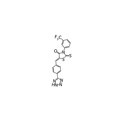 O=C1C(=Cc2ccc(-c3nn[nH]n3)cc2)SC(=S)N1c1cccc(C(F)(F)F)c1